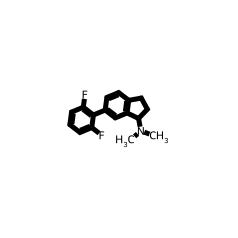 CN(C)C1CCc2ccc(-c3c(F)cccc3F)cc21